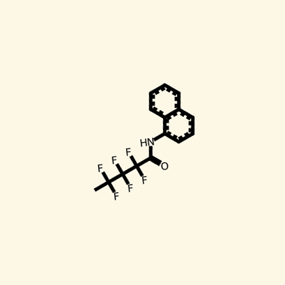 CC(F)(F)C(F)(F)C(F)(F)C(=O)Nc1cccc2ccccc12